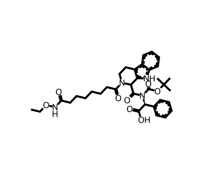 CCONC(=O)CCCCCCC(=O)N1CCc2c([nH]c3ccccc23)C1C(=O)N(C(=O)OC(C)(C)C)[C@H](C(=O)O)c1ccccc1